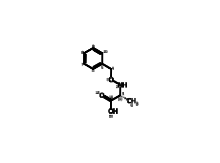 C[C@@H](NOCc1ccccc1)C(=O)O